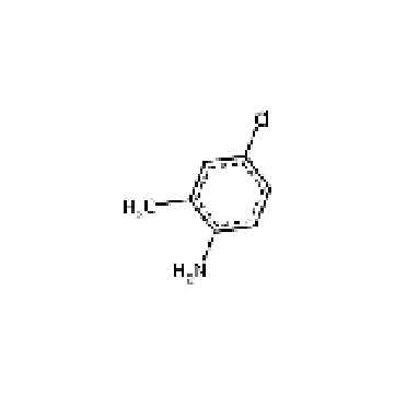 Cc1cc(Cl)c[c]c1N